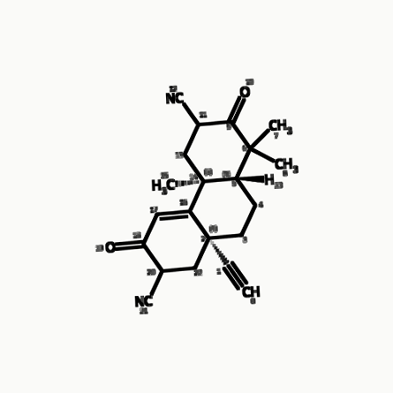 C#C[C@@]12CC[C@H]3C(C)(C)C(=O)C(C#N)C[C@]3(C)C1=CC(=O)C(C#N)C2